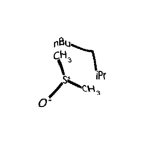 CCCCCC(C)C.C[S+](C)[O-]